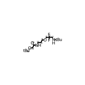 CC(C)(C)NCC(F)(F)COCCCNC(=O)COC(C)(C)C